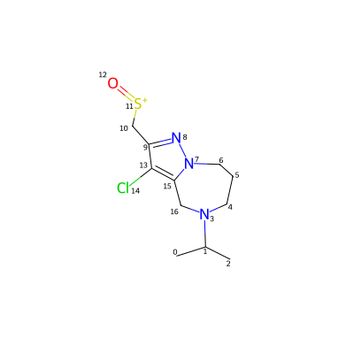 CC(C)N1CCCn2nc(C[S+]=O)c(Cl)c2C1